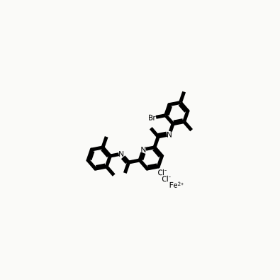 C/C(=N\c1c(C)cccc1C)c1cccc(/C(C)=N/c2c(C)cc(C)cc2Br)n1.[Cl-].[Cl-].[Fe+2]